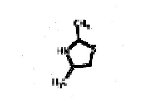 CC1CS[C@H](C)N1